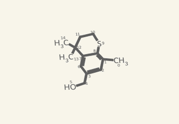 Cc1cc(CO)cc2c1SCCC2(C)C